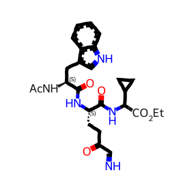 CCOC(=O)C(NC(=O)[C@H](CCC(=O)C=N)NC(=O)[C@H](Cc1c[nH]c2ccccc12)NC(C)=O)C1CC1